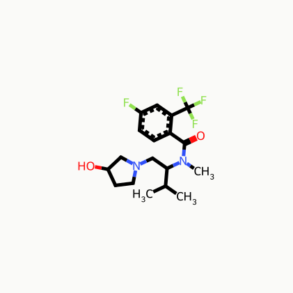 CC(C)C(CN1CCC(O)C1)N(C)C(=O)c1ccc(F)cc1C(F)(F)F